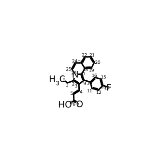 CCc1c(/C=C/C(=O)O)c(-c2ccc(F)cc2)c2c3ccccc3ccn12